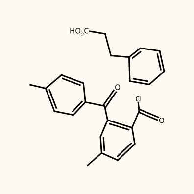 Cc1ccc(C(=O)c2cc(C)ccc2C(=O)Cl)cc1.O=C(O)CCc1ccccc1